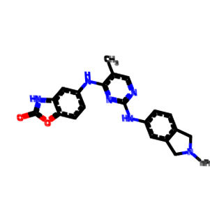 CCCN1Cc2ccc(Nc3ncc(C)c(Nc4ccc5oc(=O)[nH]c5c4)n3)cc2C1